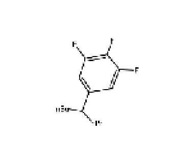 CCCCC(CCC)c1cc(F)c(F)c(F)c1